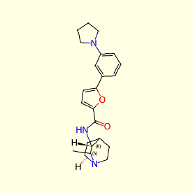 C[C@H]1[C@H](NC(=O)c2ccc(-c3cccc(N4CCCC4)c3)o2)C2CCN1CC2